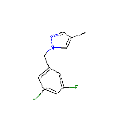 Cc1cnn(Cc2cc(F)cc(F)c2)c1